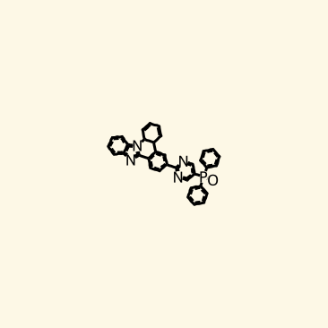 O=P(c1ccccc1)(c1ccccc1)c1cnc(-c2ccc3c(c2)C2C=CC=CC2n2c-3nc3ccccc32)nc1